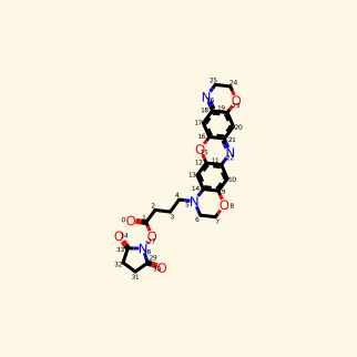 O=C(CCCN1CCOc2cc3c(cc21)Oc1cc2c(cc1=N3)OCCN=2)ON1C(=O)CCC1=O